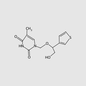 Cc1cn(COC(CO)c2ccsc2)c(=O)[nH]c1=O